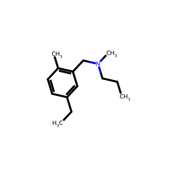 CCCN(C)Cc1cc(CC)ccc1C